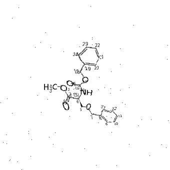 COC(=O)[C@H](COCc1ccccc1)NC(=O)OCc1ccccc1